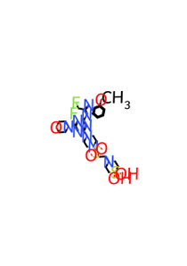 COc1cccc2c1nc(C(F)F)n2-c1nc(N2CCOCC2)nc(N2CCN(S(=O)(=O)CCN3CCS(O)(O)CC3)CC2)n1